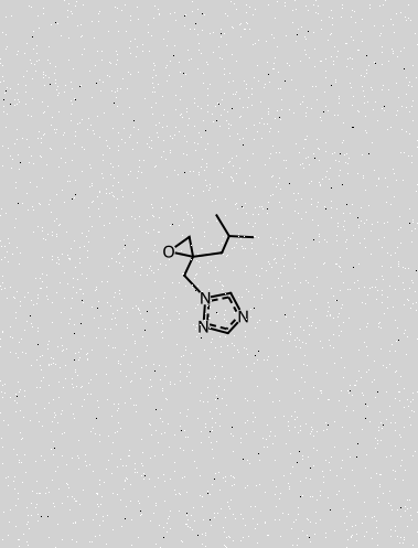 CC(C)CC1(Cn2cncn2)CO1